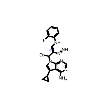 CCC(/C(=C/Nc1ccccc1F)N=N)n1cc(C2CC2)c2c(N)ncnc21